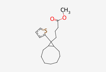 COC(=O)CCCC1(c2cccs2)C2CCCCCCCC21